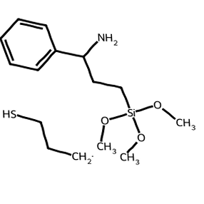 CO[Si](CCC(N)c1ccccc1)(OC)OC.[CH2]CCS